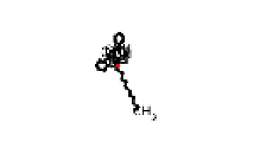 CCCCCCCCCCCCOC(C(=O)Nc1ccccc1)(C(=O)c1ccccc1F)C1(C(F)(F)F)N=NN=N1